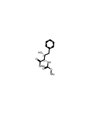 CNC(=O)[C@@H](NC(=O)OC(C)(C)C)[C@H](O)Cc1ccccc1